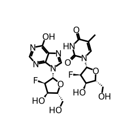 Cc1cn([C@@H]2O[C@H](CO)[C@@H](O)[C@H]2F)c(=O)[nH]c1=O.OC[C@H]1O[C@@H](n2cnc3c(O)ncnc32)[C@H](F)[C@@H]1O